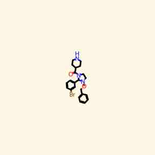 O=C(C1CCNCC1)N1CCN(OCc2ccccc2)C1c1cccc(Br)c1